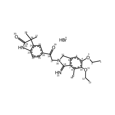 Br.CCOc1cc2c(c(F)c1OCC)C(=N)N(CC(=O)c1ccc3c(c1)C(C)(C)C(=O)N3)C2